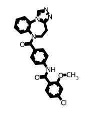 COc1cc(Cl)ccc1C(=O)Nc1ccc(C(=O)N2CCc3nncn3-c3ccccc32)cc1